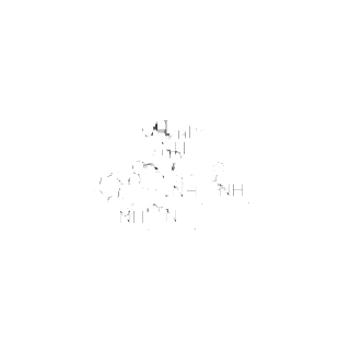 [CH2]C(C(=O)[C@H](CC(N)=O)N(C(=O)[C@H](CO)NC(=O)CCC)C(=O)[C@@H](N)CCC(N)=O)C(N)c1ccccc1